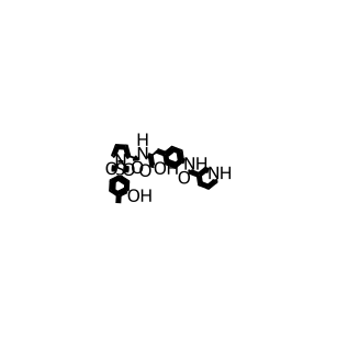 Cc1ccc(S(=O)(=O)N2CCC[C@H]2C(=O)N[C@@H](Cc2ccc(NC(=O)C3CCCNC3)cc2)C(=O)O)cc1O